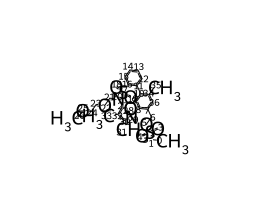 CCS(=O)(=O)OCc1ccc(-c2ccccc2S(=O)(=O)N(COCCOC)c2onc(C)c2C)c(C)c1